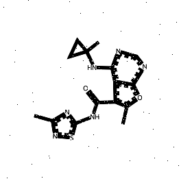 Cc1nsc(NC(=O)c2c(C)oc3ncnc(NC4(C)CC4)c23)n1